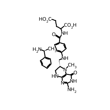 CN1c2c(nc(N)[nH]c2=O)NC[C@@H]1CNc1ccc(C(=O)NC(CCC(=O)O)C(=O)O)cc1.C[C@H](N)c1ccccc1